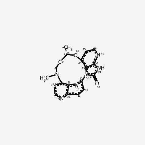 C[C@H]1CCN(C)c2ncnc3ccc(nc23)-n2c(=O)[nH]c3nccc(c32)O1